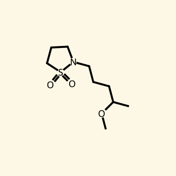 COC(C)CCCN1CCCS1(=O)=O